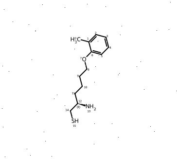 Cc1ccccc1OCCCC[C@@H](N)CS